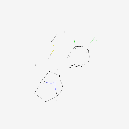 CCSC[C@@H]1[C@H](c2ccc(Cl)c(Cl)c2)C[C@H]2CC[C@@H]1N2C